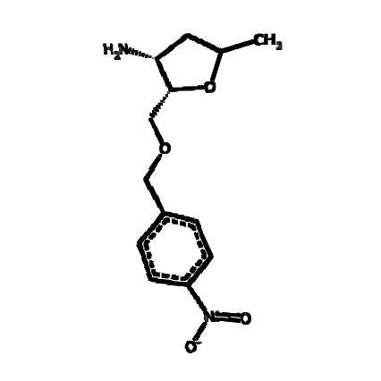 CC1C[C@@H](N)[C@@H](COCc2ccc([N+](=O)[O-])cc2)O1